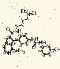 CCN(CC)CCCCNC(=O)c1cn2ncnc(N)c2c1-c1ccc(NC(=O)Nc2cccc(C)n2)cc1